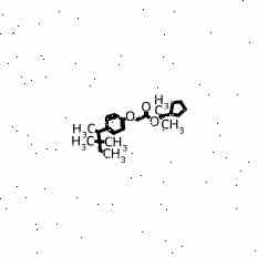 CCC(C)(C)C(C)c1c#cc(OCC(=O)OC(C)(C)C2CCCC2)cc1